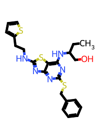 CCC(CO)Nc1nc(SCc2ccccc2)nc2nc(NCCc3cccs3)sc12